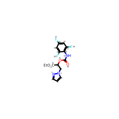 CCOC(=O)C(Cn1cccn1)OC(=O)Nc1c(F)cc(F)cc1F